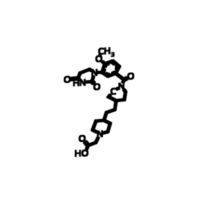 COc1ccc(C(=O)N2CCC(CCC3CCN(CC(=O)O)CC3)CC2)cc1N1CCC(=O)NC1=O